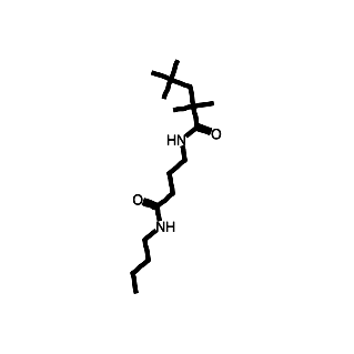 CCCCNC(=O)CCCNC(=O)C(C)(C)CC(C)(C)C